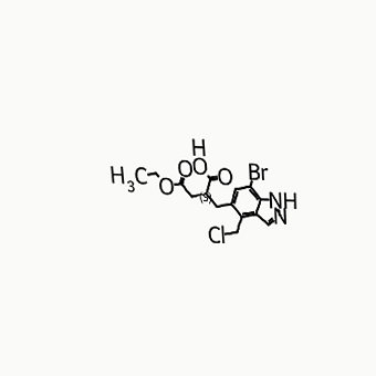 CCOC(=O)C[C@H](Cc1cc(Br)c2[nH]ncc2c1CCl)C(=O)O